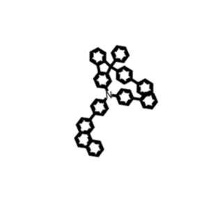 c1ccc(-c2ccc(N(c3ccc(-c4ccc5ccc6ccccc6c5c4)cc3)c3ccc4c(c3)C(c3ccccc3)(c3ccc(-c5ccccc5)cc3)c3ccccc3-4)cc2)cc1